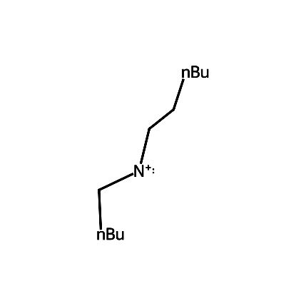 CCCCCC[N+]CCCCC